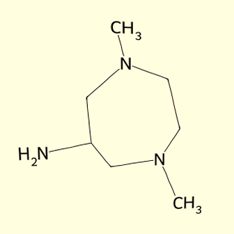 CN1CCN(C)CC(N)C1